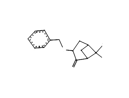 C=C1C(OCc2ccccc2)CC2CC1C2(C)C